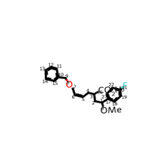 COC(CC(C/C=C\COCc1ccccc1)C(=O)O)c1ccc(F)cc1